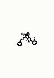 CC1(C)C2CCC1(COCc1ccccc1)c1nnc(-c3ccccc3F)cc12